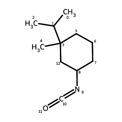 CC(C)C1(C)CCCC(N=C=O)C1